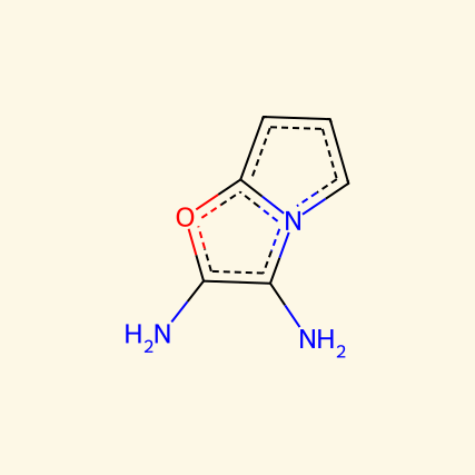 Nc1oc2cccn2c1N